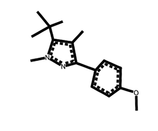 COc1ccc(-c2nn(C)c(C(C)(C)C)c2C)cc1